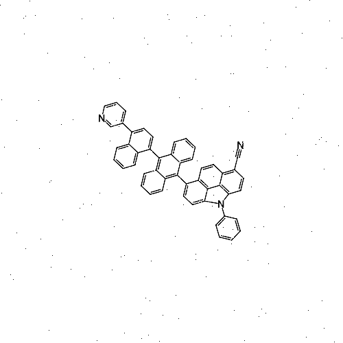 N#Cc1ccc2c3c1ccc1c(-c4c5ccccc5c(-c5ccc(-c6cccnc6)c6ccccc56)c5ccccc45)ccc(c13)n2-c1ccccc1